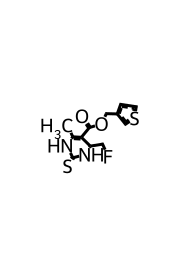 CC1=C(C(=O)OCc2ccsc2)C(CF)NC(=S)N1